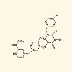 CCn1c(=O)n(N)/c(=N\c2ccc(OC3=CC(C(=O)OC)NC=N3)cc2)n(Cc2ccc(Cl)cc2)c1=O